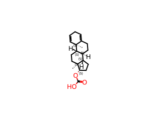 C[C@]12CC[C@H]3[C@@H](CCC4=CCC=C[C@@]43C)[C@@H]1CC[C@@H]2OC(=O)O